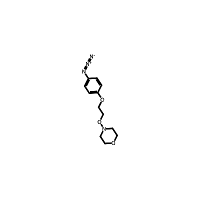 [N-]=[N+]=Nc1ccc(OCCON2CCOCC2)cc1